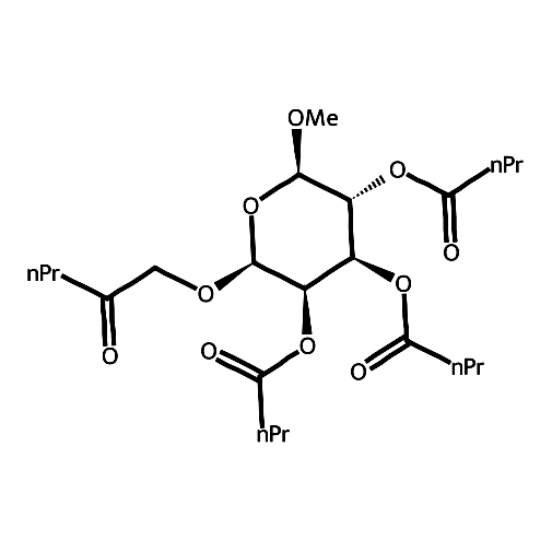 CCCC(=O)CO[C@H]1O[C@@H](OC)[C@H](OC(=O)CCC)[C@@H](OC(=O)CCC)[C@H]1OC(=O)CCC